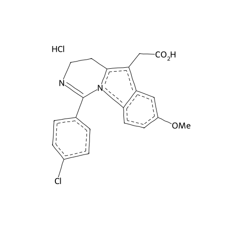 COc1ccc2c(c1)c(CC(=O)O)c1n2C(c2ccc(Cl)cc2)=NCC1.Cl